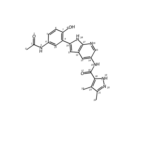 CC(=O)Nc1ccc(O)c(-c2cc3cc(NC(=O)c4[nH]nc(C)c4C)cnc3[nH]2)c1